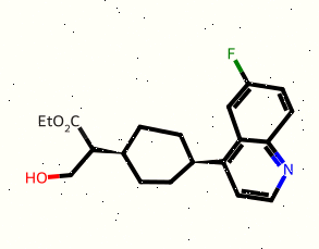 CCOC(=O)C(CO)[C@H]1CC[C@@H](c2ccnc3ccc(F)cc32)CC1